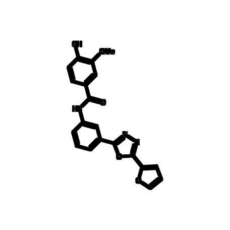 COc1cc(C(=O)Nc2cccc(-c3nnc(-c4ccco4)o3)c2)ccc1O